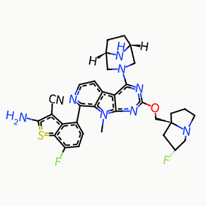 Cn1c2nc(OC[C@@]34CCCN3C[C@H](F)C4)nc(N3C[C@H]4CC[C@@H](C3)N4)c2c2ccnc(-c3ccc(F)c4sc(N)c(C#N)c34)c21